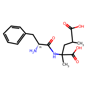 CC(CC(C)(NC(=O)[C@H](N)Cc1ccccc1)C(=O)O)C(=O)O